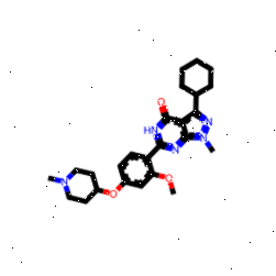 COc1cc(OC2CCN(C)CC2)ccc1-c1nc2c(c(C3CCCCC3)nn2C)c(=O)[nH]1